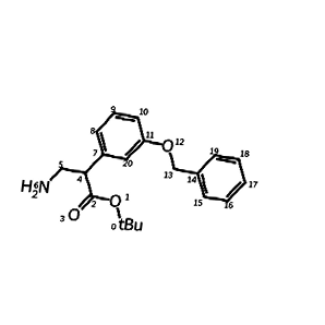 CC(C)(C)OC(=O)C(CN)c1cccc(OCc2ccccc2)c1